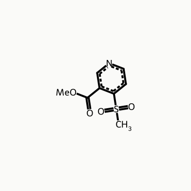 COC(=O)c1cnccc1S(C)(=O)=O